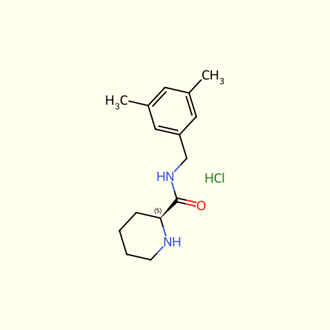 Cc1cc(C)cc(CNC(=O)[C@@H]2CCCCN2)c1.Cl